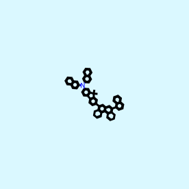 CC1(C)c2cc(-c3cc4cc(-c5cccc6ccccc56)c5c(c4c4c3CCC=C4)C=CCC5)ccc2-c2ccc(N(c3ccc4ccccc4c3)c3ccc4ccccc4c3)cc21